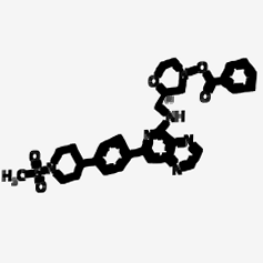 CS(=O)(=O)N1CCC(c2ccc(-c3cc4nccnc4c(NC[C@@H]4CN(OC(=O)c5ccccc5)CCO4)n3)cc2)CC1